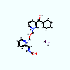 O=C(c1ccc[n+](COC[n+]2ccccc2C=NO)c1)C1CCCCC1.[I-].[I-]